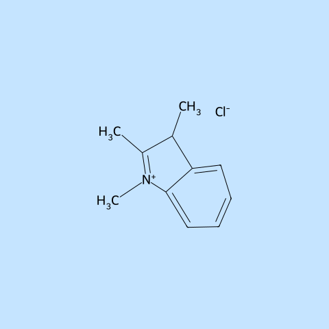 CC1=[N+](C)c2ccccc2C1C.[Cl-]